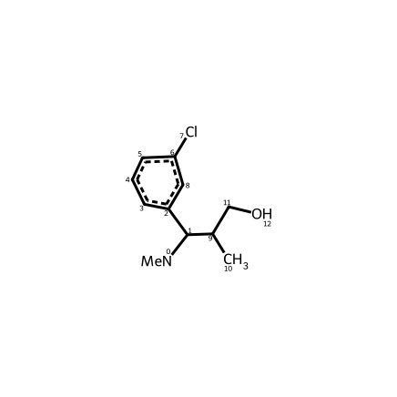 CNC(c1cccc(Cl)c1)C(C)CO